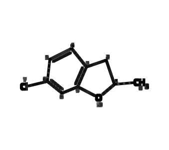 CC1Cc2ccc(Cl)cc2O1